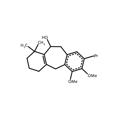 COc1c(C(C)C)cc2c(c1OC)CC1=C(C(O)C2)C(C)(C)CCC1